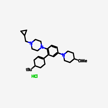 COC1CCN(c2ccc(N3CCN(CC4CC4)CC3)c(C3=CCC(C(C)(C)C)CC3)c2)CC1.Cl